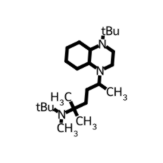 CC(CCC(C)(C)N(C)C(C)(C)C)N1CCN(C(C)(C)C)C2CCCCC21